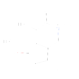 CCC(C)N(C)CC1CC(OC)CC1C